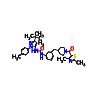 Cc1ccc(-n2nc(C(C)(C)C)cc2NC(=O)Nc2cccc(CC3CCN(C(=O)c4sc(C)nc4C)CC3)c2)cc1